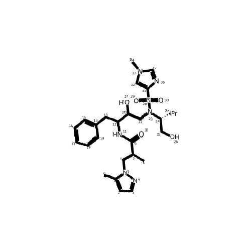 Cc1ccnn1CC(C)C(=O)NC(Cc1ccccc1)C(O)CN([C@@H](CO)C(C)C)S(=O)(=O)c1cn(C)cn1